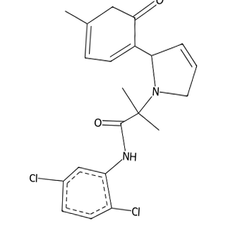 CC1=CC=C(C2C=CCN2C(C)(C)C(=O)Nc2cc(Cl)ccc2Cl)C(=O)C1